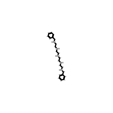 c1ccc(CNCCNCCNCCNCCNCc2ccccc2)cc1